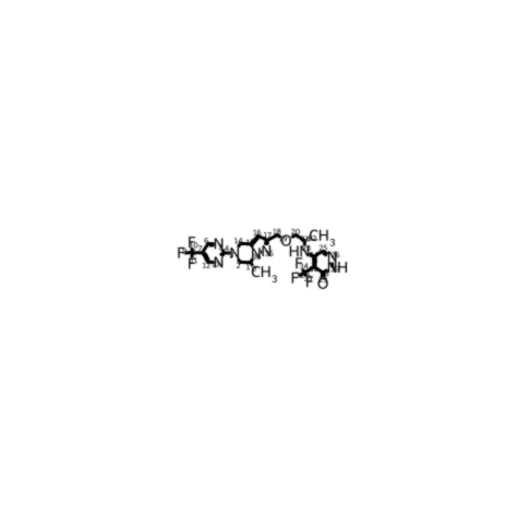 CC1CN(c2ncc(C(F)(F)F)cn2)Cc2cc(COC[C@H](C)Nc3cn[nH]c(=O)c3C(F)(F)F)nn21